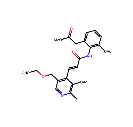 COC(=O)Cc1cccc(OC(C)=O)c1NC(=O)/C=C/c1c(COCC=O)cnc(C)c1OC(C)=O